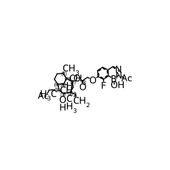 C=C[C@]1(C)C[C@@H](OC(=O)COc2ccc3c(c2F)B(O)N(C(C)=O)N=C3)[C@]2(C)[C@H](C)CC[C@@](CCC(C)=O)([C@H]2C)[C@@H](C)[C@@H]1O